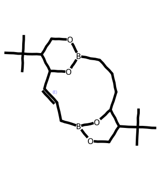 CC(C)(C)C1COB2CCCC3OB(C/C=C/C1O2)OCC3C(C)(C)C